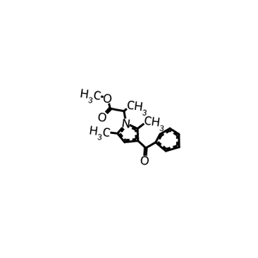 COC(=O)C(C)n1c(C)cc(C(=O)c2ccccc2)c1C